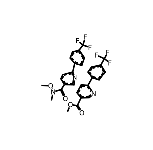 COC(=O)c1ccc(-c2ccc(C(F)(F)F)cc2)nc1.CON(C)C(=O)c1ccc(-c2ccc(C(F)(F)F)cc2)nc1